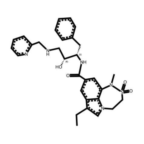 CCc1cn2c3c(cc(C(=O)N[C@@H](Cc4ccccc4)[C@H](O)CNCc4ccccn4)cc13)N(C)S(=O)(=O)CC2